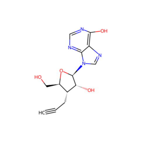 C#CC[C@H]1[C@@H](O)[C@H](n2cnc3c(O)ncnc32)O[C@@H]1CO